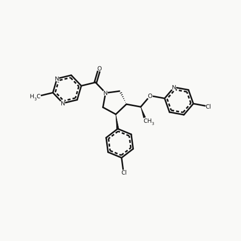 Cc1ncc(C(=O)N2C[C@H]([C@H](C)Oc3ccc(Cl)cn3)[C@@H](c3ccc(Cl)cc3)C2)cn1